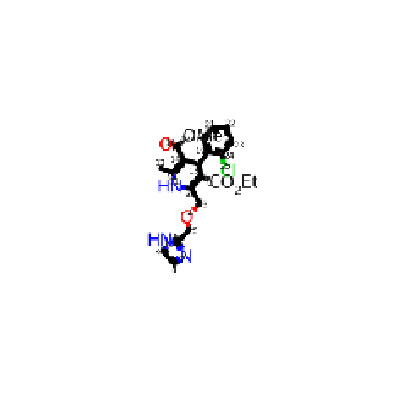 CCOC(=O)C1=C(COCc2ncc[nH]2)NC(C)=C(C(=O)OC)C1c1ccccc1Cl